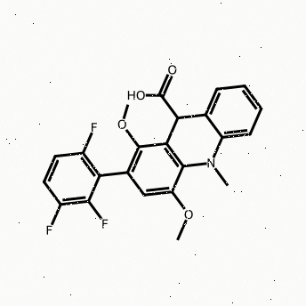 COc1cc(-c2c(F)ccc(F)c2F)c(OC)c2c1N(C)c1ccccc1C2C(=O)O